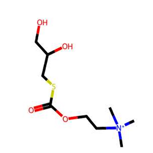 C[N+](C)(C)CCOC(=O)SCC(O)CO